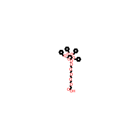 O=C(O)CCOCCOCCOCCOCCOCO[C@H]1O[C@H](COCc2ccccc2)[C@@H](OCc2ccccc2)[C@H](OCc2ccccc2)[C@H]1OCc1ccccc1